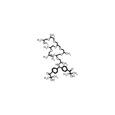 CC(N)COC(C)COCC(COCC(C)OCC(C)OCC(C)NC(c1ccc(C(=O)C(C)(C)O)cc1)c1ccc(C(=O)C(C)(C)O)cc1)OCC(C)OCC(C)N